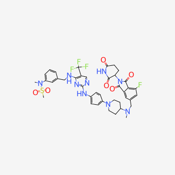 CN(Cc1cc(F)c2c(c1)C(=O)N(C1CCC(=O)NC1=O)C2=O)C1CCN(c2ccc(Nc3ncc(C(F)(F)F)c(NCc4cccc(N(C)S(C)(=O)=O)c4)n3)cc2)CC1